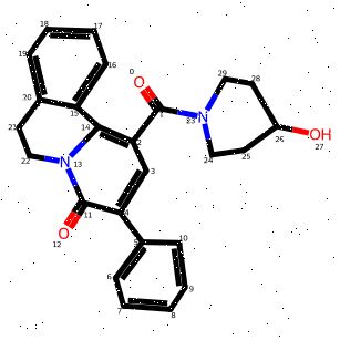 O=C(c1cc(-c2ccccc2)c(=O)n2c1-c1ccccc1CC2)N1CCC(O)CC1